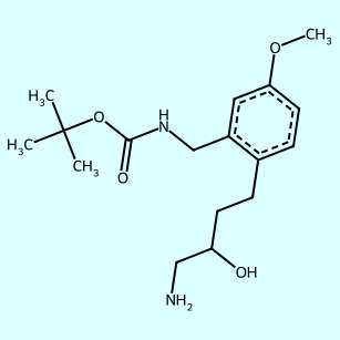 COc1ccc(CCC(O)CN)c(CNC(=O)OC(C)(C)C)c1